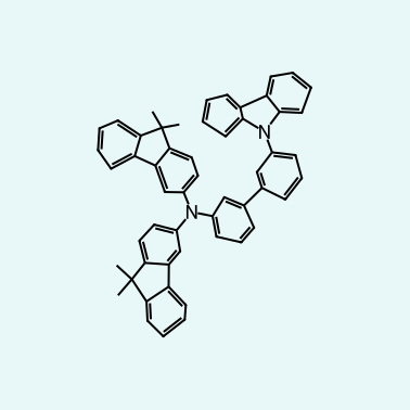 CC1(C)c2ccccc2-c2cc(N(c3cccc(-c4cccc(-n5c6ccccc6c6ccccc65)c4)c3)c3ccc4c(c3)-c3ccccc3C4(C)C)ccc21